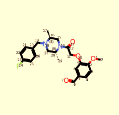 COc1ccc(C=O)cc1OCC(=O)N1C[C@H](C)N(Cc2ccc(F)cc2)C[C@H]1C